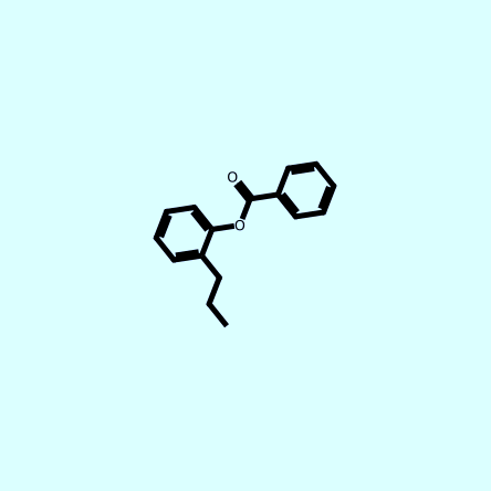 CCCc1ccccc1OC(=O)c1ccccc1